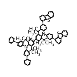 CC1(C)c2cc(-c3ccccc3)ccc2N2c3ccc(-c4ccccc4)cc3C(C)(C)c3cc(-c4cc5c6c(c4)C(C)(C)c4cc(-c7cccc8c7sc7ccccc78)ccc4N6c4ccc(-c6cccc7c6sc6ccccc67)cc4C5(C)C)cc1c32